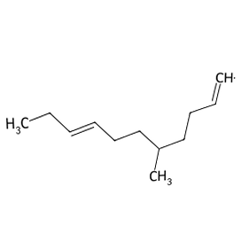 [CH]=CCCC(C)CCC=CCC